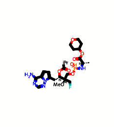 CO[C@](CF)(CO[PH](=O)N[C@@H](C)C(=O)OC1CCOCC1)[C@H](Cc1ccc2c(N)ncnn12)OC(=O)C(C)C